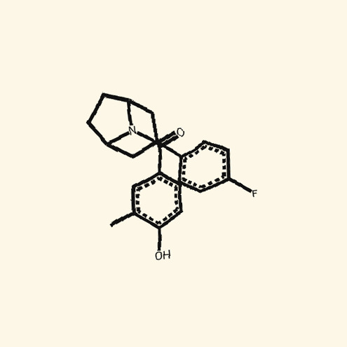 Cc1cc(C(=O)N2C3CCC2CC(c2ccc(F)cc2)C3)ccc1O